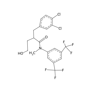 CN(C(=O)C(CCO)Cc1ccc(Cl)c(Cl)c1)c1cc(C(F)(F)F)cc(C(F)(F)F)c1